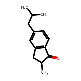 CC(C)Cc1ccc2c(c1)CC(C)C2=O